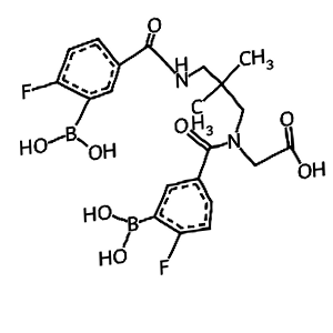 CC(C)(CNC(=O)c1ccc(F)c(B(O)O)c1)CN(CC(=O)O)C(=O)c1ccc(F)c(B(O)O)c1